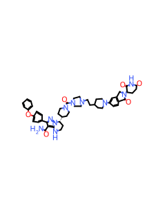 NC(=O)c1c(-c2ccc(Oc3ccccc3)cc2)nn2c1NCC[C@H]2C1CCN(C(=O)N2CCN(CCC3CCN(c4ccc5c(c4)CN(C4CCC(=O)NC4=O)C5=O)CC3)CC2)CC1